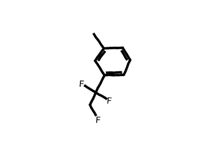 Cc1cccc(C(F)(F)CF)c1